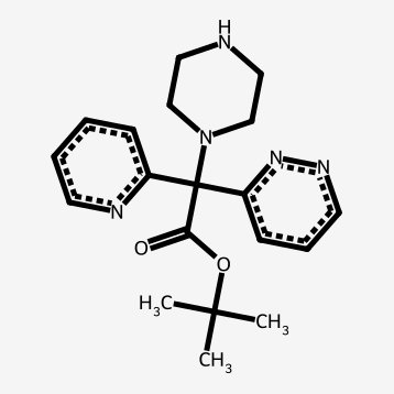 CC(C)(C)OC(=O)C(c1ccccn1)(c1cccnn1)N1CCNCC1